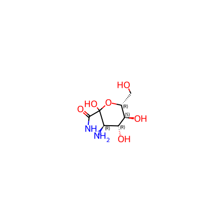 NC(=O)C1(O)O[C@H](CO)[C@@H](O)[C@H](O)[C@H]1N